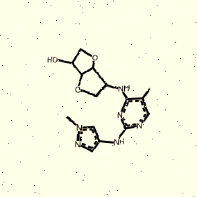 Cc1cnc(Nc2cnn(C)c2)nc1NC1COC2C(O)COC12